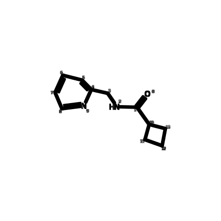 O=C(NCc1ccccn1)C1CCC1